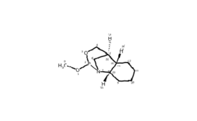 COP1OC[C@@H]2CN1[C@H]1CCCC[C@@H]21